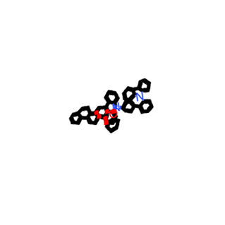 c1cc(-c2ccc3c(ccc4ccccc43)c2)cc(N(c2ccc(-c3ccccc3-n3c4ccccc4c4ccccc43)cc2)c2ccccc2-c2cccc3c2oc2ccccc23)c1